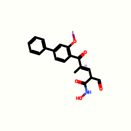 C/C(=C\C(C=O)C(=O)NO)C(=O)c1ccc(-c2ccccc2)cc1OI